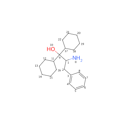 NC(Cc1ccccc1)C(O)(C1CCCCC1)C1CCCCC1